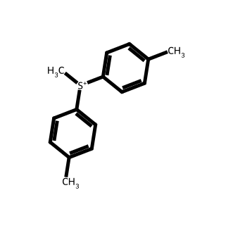 Cc1ccc([S+](C)c2ccc(C)cc2)cc1